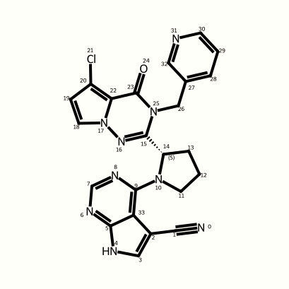 N#Cc1c[nH]c2ncnc(N3CCC[C@H]3c3nn4ccc(Cl)c4c(=O)n3Cc3cccnc3)c12